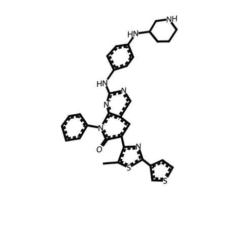 Cc1sc(-c2ccsc2)nc1-c1cc2cnc(Nc3ccc(NC4CCCNC4)cc3)nc2n(-c2ccccc2)c1=O